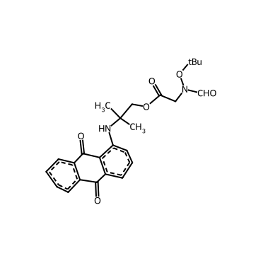 CC(C)(COC(=O)CN(C=O)OC(C)(C)C)Nc1cccc2c1C(=O)c1ccccc1C2=O